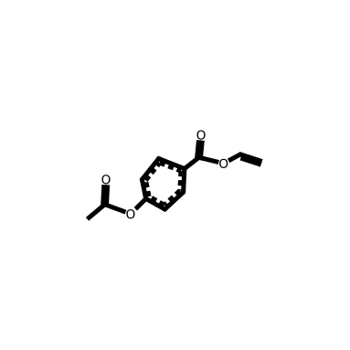 C=COC(=O)c1ccc(OC(C)=O)cc1